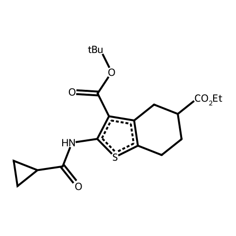 CCOC(=O)C1CCc2sc(NC(=O)C3CC3)c(C(=O)OC(C)(C)C)c2C1